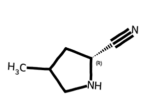 CC1CN[C@@H](C#N)C1